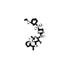 CCOc1cccc(S(=O)(=O)c2cnc(Nc3nc(C)nc(OC(C)C4CCCN4)c3F)s2)c1